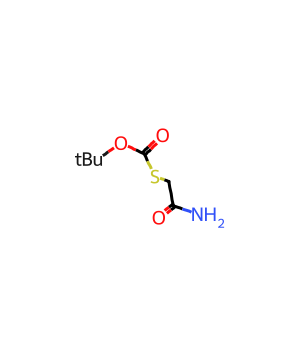 CC(C)(C)OC(=O)SCC(N)=O